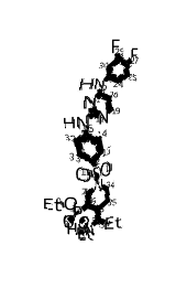 CCOP(=O)(OCC)C1CN(S(=O)(=O)c2ccc(Nc3nccc(Nc4ccc(F)c(F)c4)n3)cc2)CCC1C(N)CC